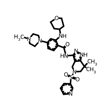 CN1CCN(c2ccc(C(=O)Nc3n[nH]c4c3CN(S(=O)(=O)c3cccnc3)CC4(C)C)c(NC3CCOCC3)c2)CC1